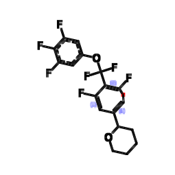 C\C=C(/C=C(F)\C(=C(/C)F)C(F)(F)Oc1cc(F)c(F)c(F)c1)C1CCCCO1